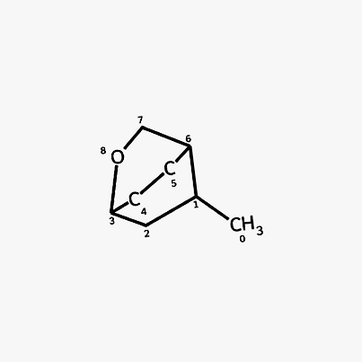 CC1CC2CCC1CO2